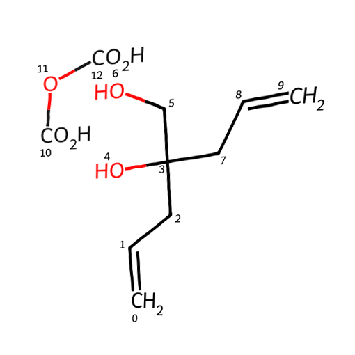 C=CCC(O)(CO)CC=C.O=C(O)OC(=O)O